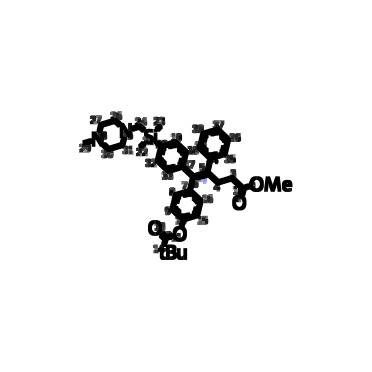 COC(=O)CC/C(=C(\c1ccc(OC(=O)C(C)(C)C)cc1)c1ccc([Si](C)(C)CN2CCN(C)CC2)cc1)c1ccccc1